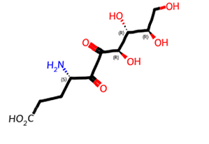 N[C@@H](CCC(=O)O)C(=O)C(=O)[C@H](O)[C@H](O)[C@H](O)CO